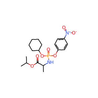 CC(C)OC(=O)C(C)NP(=O)(Oc1ccc([N+](=O)[O-])cc1)OC1CCCCC1